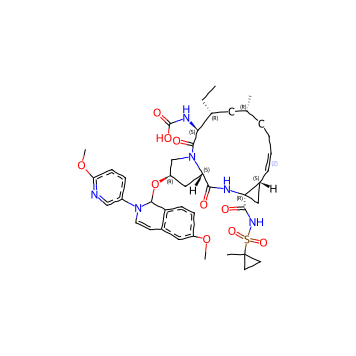 CC[C@@H]1C[C@H](C)CC/C=C\[C@@H]2C[C@@]2(C(=O)NS(=O)(=O)C2(C)CC2)NC(=O)[C@@H]2C[C@@H](OC3c4ccc(OC)cc4C=CN3c3ccc(OC)nc3)CN2C(=O)[C@H]1NC(=O)O